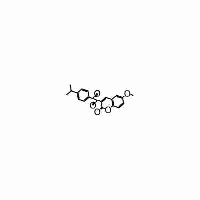 COc1ccc2oc(=O)c(S(=O)(=O)c3ccc(C(C)C)cc3)cc2c1